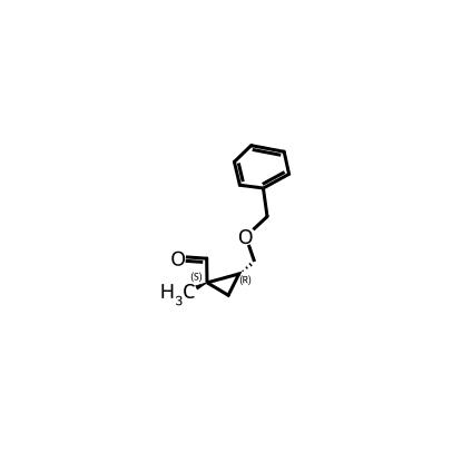 C[C@]1(C=O)C[C@H]1COCc1ccccc1